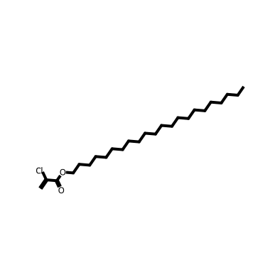 C=C(Cl)C(=O)OCCCCCCCCCCCCCCCCCCCCCC